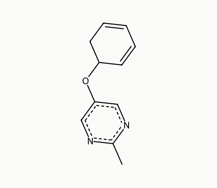 Cc1ncc(OC2C=CC=CC2)cn1